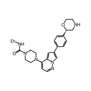 CCNC(=O)N1CCN(c2ccnn3cc(-c4ccc([C@@H]5CNCCO5)cc4)cc23)CC1